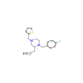 CCOC(=O)CC1CN(Cc2cccs2)CCN1Cc1ccc(F)cc1